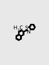 Cc1cc2ccccc2cc1-c1nc2ccccc2s1